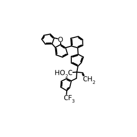 C=CC(Cc1cccc(C(F)(F)F)c1)(C(=O)O)c1ccc(-c2ccccc2-c2cccc3c2oc2ccccc23)cc1